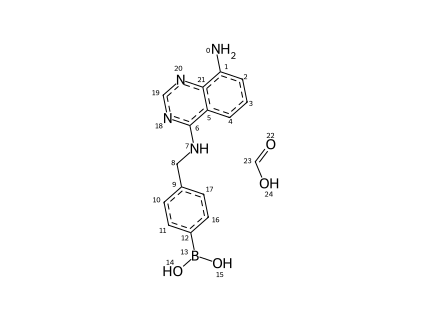 Nc1cccc2c(NCc3ccc(B(O)O)cc3)ncnc12.O=CO